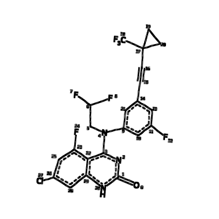 O=c1nc(N(CC(F)F)c2cc(F)cc(C#CC3(C(F)(F)F)CC3)c2)c2c(F)cc(Cl)cc2[nH]1